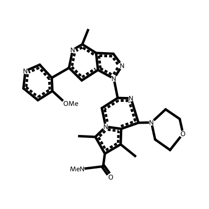 CNC(=O)c1c(C)c2c(N3CCOCC3)nc(-n3ncc4c(C)nc(-c5cnccc5OC)cc43)cn2c1C